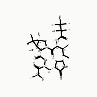 CC[C@H](C)[C@H](NC(=O)C(F)(F)C(F)(F)F)C(=O)N1C[C@H]2[C@@H]([C@H]1C(=O)NN(C[C@@H]1CCNC1=O)C(=O)[C@H](F)Cl)C2(C)C